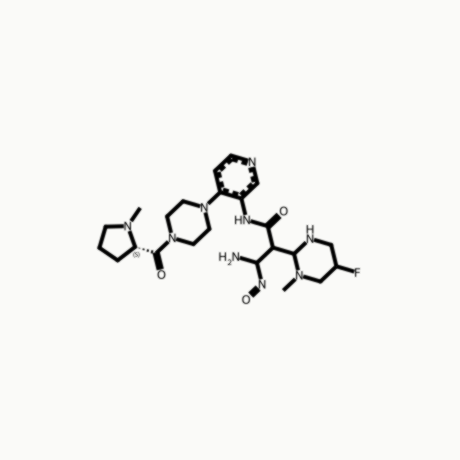 CN1CC(F)CNC1C(C(=O)Nc1cnccc1N1CCN(C(=O)[C@@H]2CCCN2C)CC1)C(N)N=O